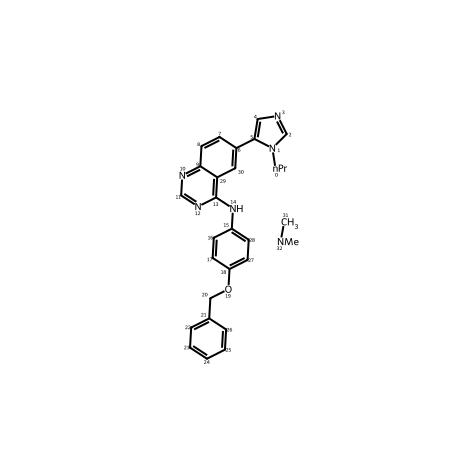 CCCn1cncc1-c1ccc2ncnc(Nc3ccc(OCc4ccccc4)cc3)c2c1.CNC